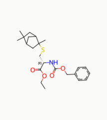 CCOC(=O)[C@H](CSC1(C)CC2CC1CC2(C)C)NC(=O)OCc1ccccc1